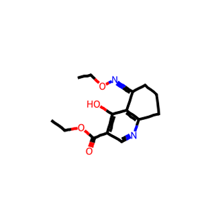 CCO/N=C1/CCCc2ncc(C(=O)OCC)c(O)c21